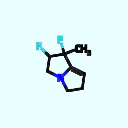 CC1(F)C2=CCCN2CC1F